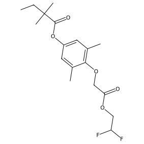 CCC(C)(C)C(=O)Oc1cc(C)c(OCC(=O)OCC(F)F)c(C)c1